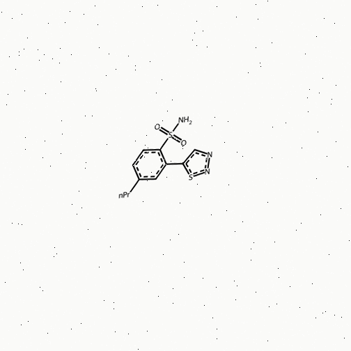 CCCc1ccc(S(N)(=O)=O)c(-c2cnns2)c1